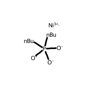 CCCCP([O-])([O-])([O-])CCCC.[Ni+3]